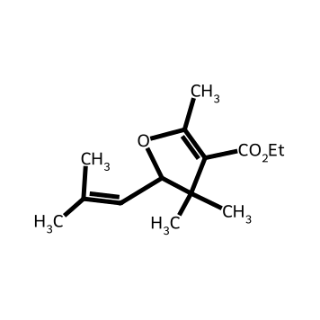 CCOC(=O)C1=C(C)OC(C=C(C)C)C1(C)C